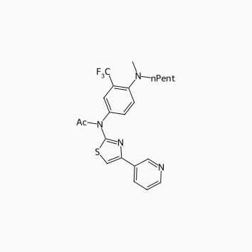 [CH2]C(=O)N(c1ccc(N(C)CCCCC)c(C(F)(F)F)c1)c1nc(-c2cccnc2)cs1